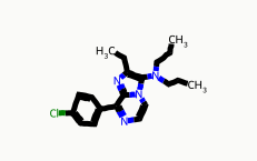 CCCN(CCC)c1c(CC)nc2c(-c3ccc(Cl)cc3)nccn12